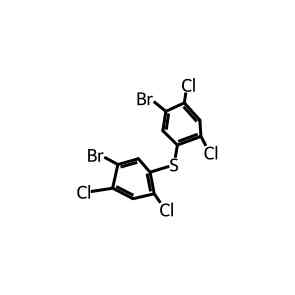 Clc1cc(Cl)c(Sc2cc(Br)c(Cl)cc2Cl)cc1Br